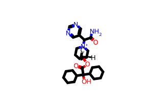 NC(=O)C(c1cncnc1)[N+]12CCC(CC1)[C@@H](OC(=O)C(O)(C1CCCCC1)C1CCCCC1)C2